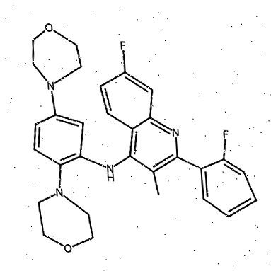 Cc1c(-c2ccccc2F)nc2cc(F)ccc2c1Nc1cc(N2CCOCC2)ccc1N1CCOCC1